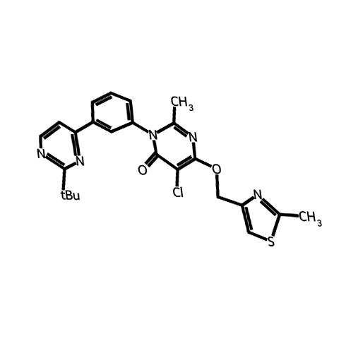 Cc1nc(COc2nc(C)n(-c3cccc(-c4ccnc(C(C)(C)C)n4)c3)c(=O)c2Cl)cs1